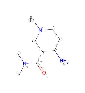 CC(C)N1CCC(N)[C@H](C(=O)N(C)C)C1